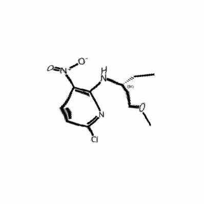 CC[C@H](COC)Nc1nc(Cl)ccc1[N+](=O)[O-]